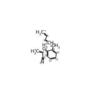 C=CC#N.C=CC=C.Cc1ccccc1C